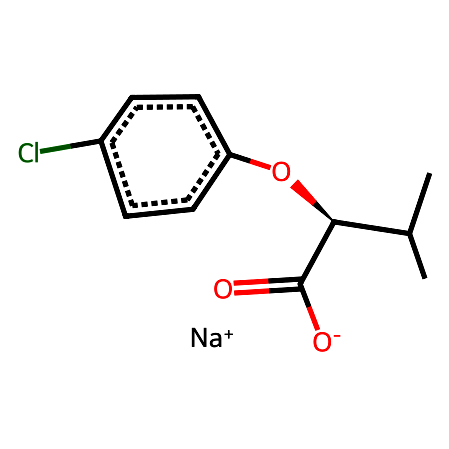 CC(C)[C@H](Oc1ccc(Cl)cc1)C(=O)[O-].[Na+]